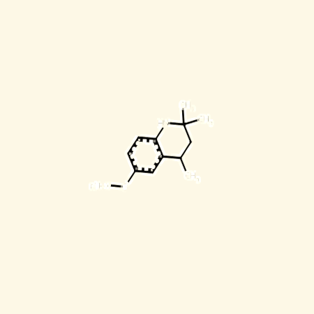 CCCCCCOc1ccc2c(c1)C(C)CC(C)(C)N2